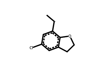 C[CH]c1cc(Cl)cc2c1OCC2